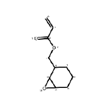 C=CC(=O)OCC1CCCC2OC12